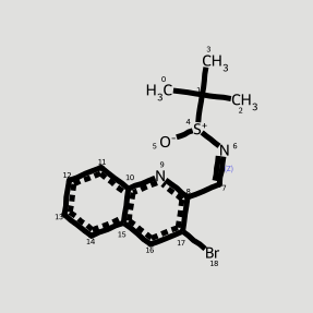 CC(C)(C)[S+]([O-])/N=C\c1nc2ccccc2cc1Br